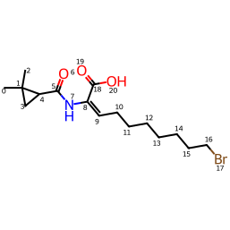 CC1(C)CC1C(=O)NC(=CCCCCCCCBr)C(=O)O